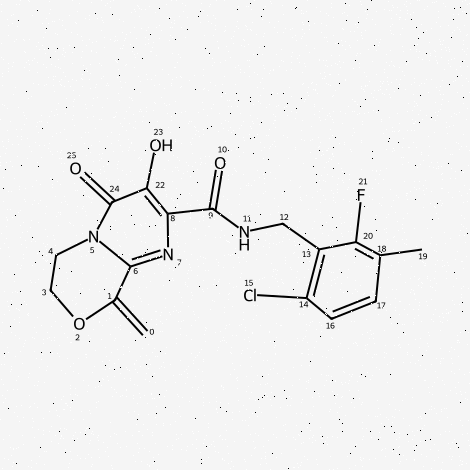 C=C1OCCn2c1nc(C(=O)NCc1c(Cl)ccc(C)c1F)c(O)c2=O